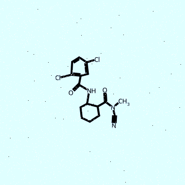 CN(C#N)C(=O)C1CCCCC1NC(=O)c1cc(Cl)ccc1Cl